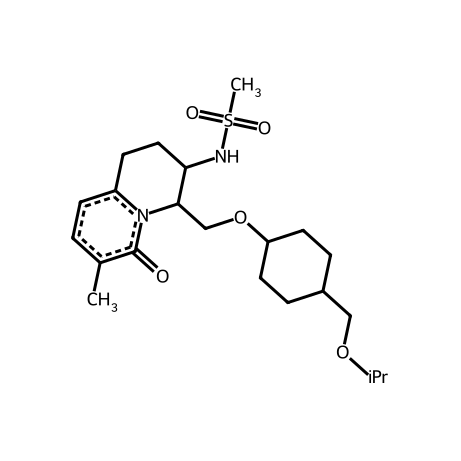 Cc1ccc2n(c1=O)C(COC1CCC(COC(C)C)CC1)C(NS(C)(=O)=O)CC2